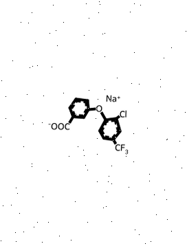 O=C([O-])c1cccc(Oc2ccc(C(F)(F)F)cc2Cl)c1.[Na+]